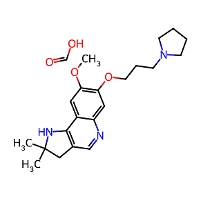 COc1cc2c3c(cnc2cc1OCCCN1CCCC1)CC(C)(C)N3.O=CO